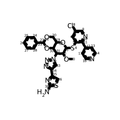 COC1C(Sc2cc(Cl)cnc2-c2ccncc2)OC2COC(c3ccccc3)OC2C1n1cc(-c2csc(N)n2)nn1